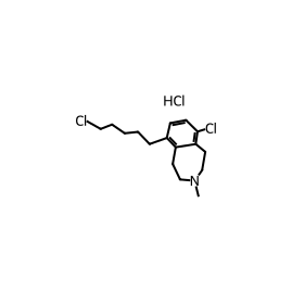 CN1CCc2c(Cl)ccc(CCCCCCl)c2CC1.Cl